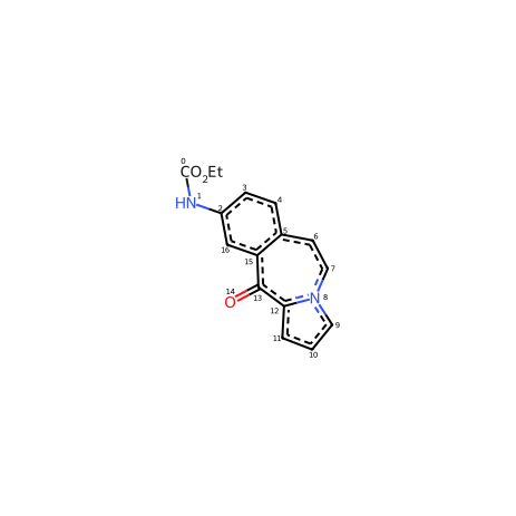 CCOC(=O)Nc1ccc2ccn3cccc3c(=O)c2c1